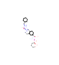 O=C(NOC1CCCCO1)c1ccc2c(c1)CCN(C(=O)NCc1ccccc1)C2